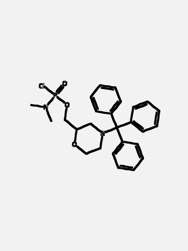 CN(C)P(=O)(Cl)OCC1CN(C(c2ccccc2)(c2ccccc2)c2ccccc2)CCO1